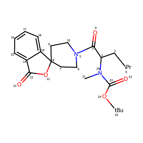 CC(C)CC(C(=O)N1CCC2(CC1)OC(=O)c1ccccc12)N(C)C(=O)OC(C)(C)C